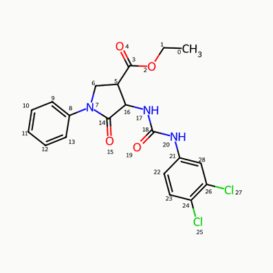 CCOC(=O)C1CN(c2ccccc2)C(=O)C1NC(=O)Nc1ccc(Cl)c(Cl)c1